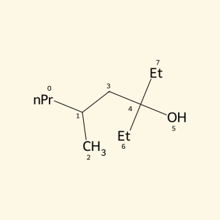 CCCC(C)CC(O)(CC)CC